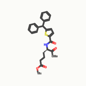 COC(=O)[C@H](CCCC(=O)OC(C)(C)C)NC(=O)c1ccc(C(c2ccccc2)c2ccccc2)s1